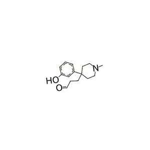 CN1CCC(CCC=O)(c2cccc(O)c2)CC1